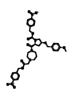 COc1ccc(CS[C@H]2C[C@@H](C(=O)N3CCCN(CC(=O)OCc4ccc([N+](=O)[O-])cc4)CC3)N(C(=O)OCc3ccc([N+](=O)[O-])cc3)C2)cc1